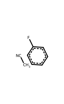 CC#N.Fc1ccccc1